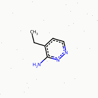 CCc1ccnnc1N